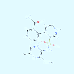 COc1nc(C)cnc1NS(=O)(=O)c1cnccc1-c1ccccc1C(=O)C(C)C